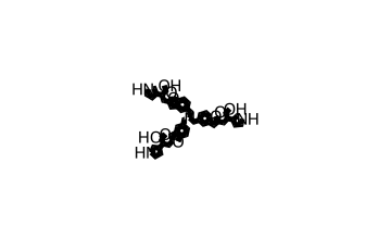 O=C(O)C(Cc1cc2cc(CN(Cc3ccc4oc(CC(C(=O)O)C5CCNC5)cc4c3)Cc3ccc4oc(CC(C(=O)O)C5CCNC5)cc4c3)ccc2o1)C1CCNC1